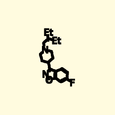 CC[C](CC)CN1CCC(c2noc3cc(F)ccc23)CC1